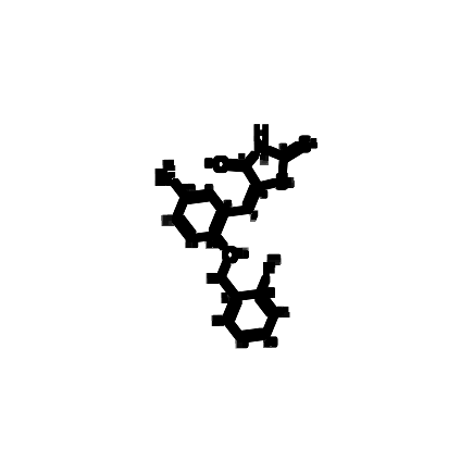 O=C1NC(=S)SC1=Cc1cc(Br)ccc1OCc1ccccc1F